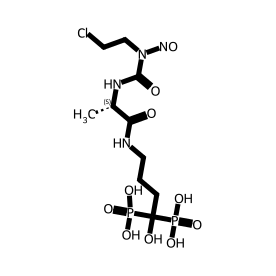 C[C@H](NC(=O)N(CCCl)N=O)C(=O)NCCCC(O)(P(=O)(O)O)P(=O)(O)O